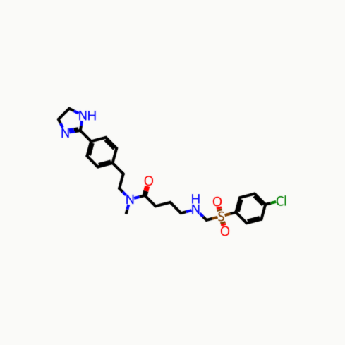 CN(CCc1ccc(C2=NCCN2)cc1)C(=O)CCCNCS(=O)(=O)c1ccc(Cl)cc1